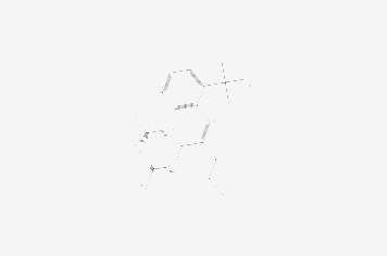 CCCC(=Cc1ccccc1C(C)(C)C)C(OC(C)=O)OC(C)=O